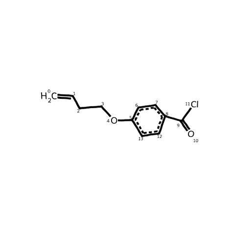 C=CCCOc1ccc(C(=O)Cl)cc1